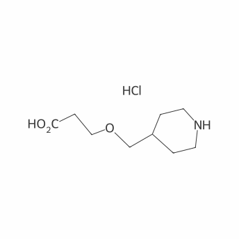 Cl.O=C(O)CCOCC1CCNCC1